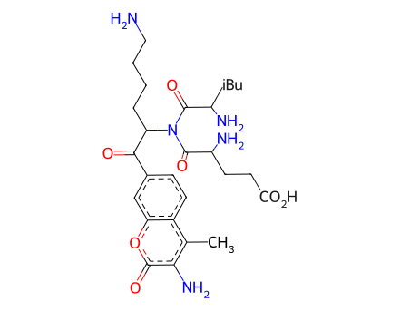 CCC(C)C(N)C(=O)N(C(=O)C(N)CCC(=O)O)C(CCCCN)C(=O)c1ccc2c(C)c(N)c(=O)oc2c1